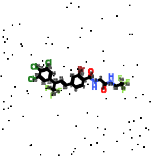 O=C(CNC(=O)c1ccc(/C=C/C(c2cc(Cl)c(Cl)c(Cl)c2)C(F)(F)F)cc1Br)NCC(F)(F)F